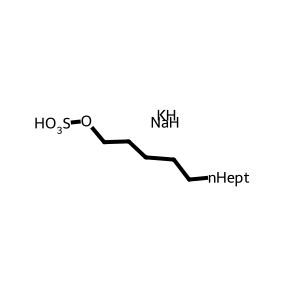 CCCCCCCCCCCCOS(=O)(=O)O.[KH].[NaH]